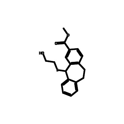 COC(=O)c1ccc2c(c1)C(SCCO)c1ccccc1CC2